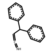 N=C=CC(c1ccccc1)c1ccccc1